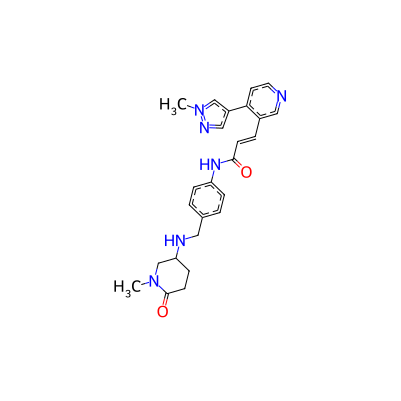 CN1CC(NCc2ccc(NC(=O)C=Cc3cnccc3-c3cnn(C)c3)cc2)CCC1=O